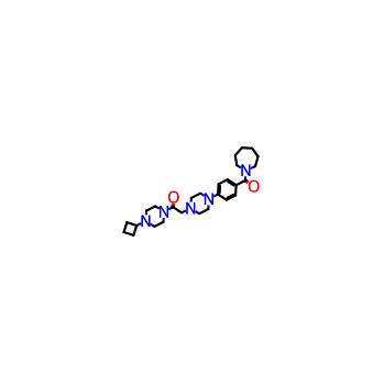 O=C(CN1CCN(c2ccc(C(=O)N3CCCCCC3)cc2)CC1)N1CCN(C2CCC2)CC1